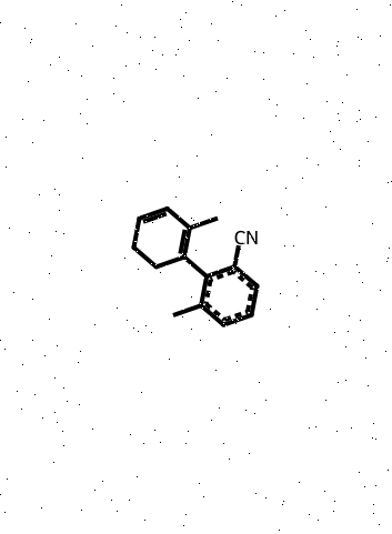 CC1=C(c2c(C)cccc2C#N)CCC=C1